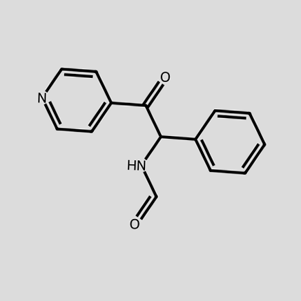 O=CNC(C(=O)c1ccncc1)c1ccccc1